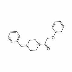 O=C(COc1ccccc1)N1CCN(Cc2ccccc2)CC1